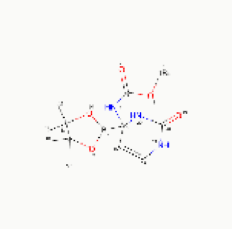 CC(C)(C)OC(=O)NC1(B2OC(C)(C)C(C)(C)O2)C=CNC(=O)N1